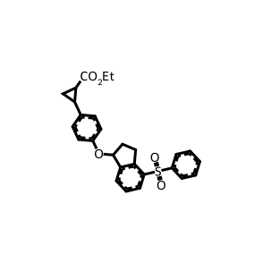 CCOC(=O)C1CC1c1ccc(OC2CCc3c2cccc3S(=O)(=O)c2ccccc2)cc1